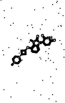 CN1CCN([C@H]2C[C@H](Oc3cccc4c3n(C)c(=O)n4C3CCC(=O)NC3=O)C2)CC1